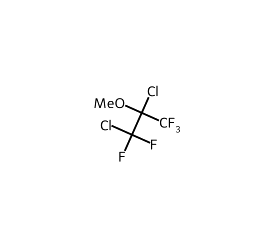 COC(Cl)(C(F)(F)F)C(F)(F)Cl